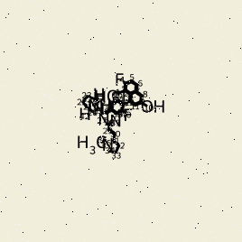 C#Cc1c(F)ccc2cc(O)cc(-c3c(Cl)cc4c(N5C[C@H]6CC[C@@H](C5)N6)nc(/C=C/C5CCCN5C)nc4c3F)c12